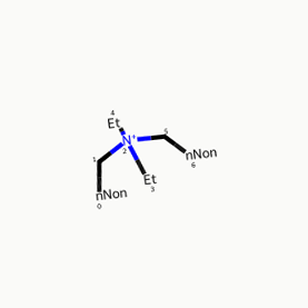 CCCCCCCCCC[N+](CC)(CC)CCCCCCCCCC